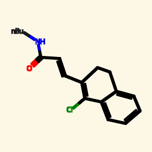 CCCCNC(=O)C=CC1=C(Cl)c2ccccc2CC1